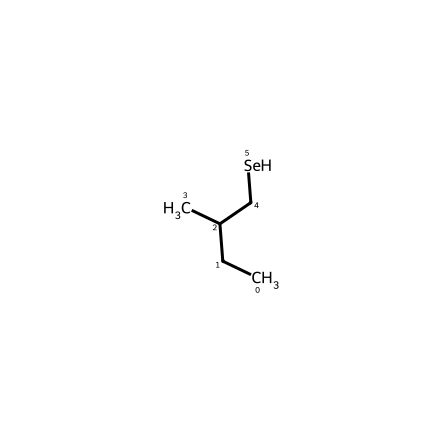 CCC(C)C[SeH]